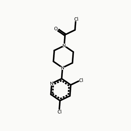 O=C(CCl)N1CCN(c2ncc(Cl)cc2Cl)CC1